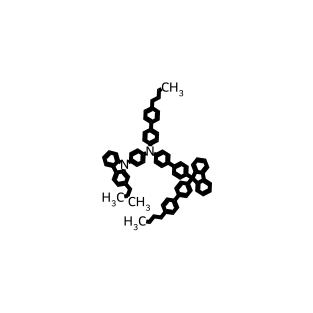 CCCCc1ccc(-c2ccc(N(c3ccc(-c4ccc(C5(c6ccc(-c7ccc(CCCC)cc7)cc6)c6ccccc6-c6ccccc65)cc4)cc3)c3ccc(-n4c5ccccc5c5ccc(CC(C)C)cc54)cc3)cc2)cc1